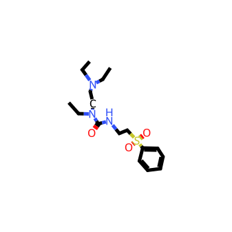 CCN(CC)CCN(CC)C(=O)NCCS(=O)(=O)c1ccccc1